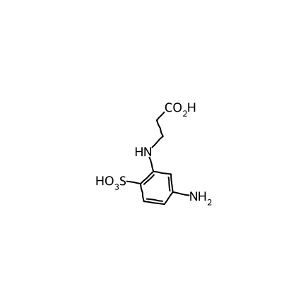 Nc1ccc(S(=O)(=O)O)c(NCCC(=O)O)c1